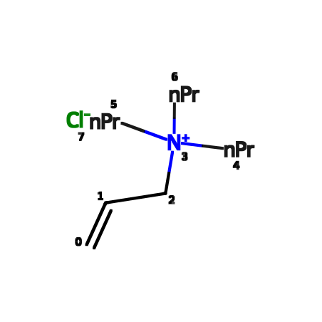 C=CC[N+](CCC)(CCC)CCC.[Cl-]